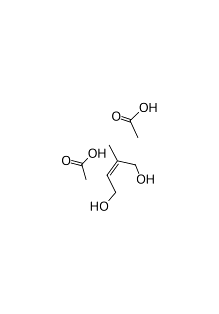 CC(=CCO)CO.CC(=O)O.CC(=O)O